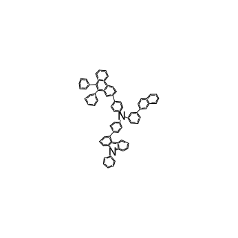 c1ccc(-c2c(-c3ccccc3)c3cc(-c4ccc(N(c5ccc(-c6cccc7c6c6ccccc6n7-c6ccccc6)cc5)c5cccc(-c6ccc7ccccc7c6)c5)cc4)ccc3c3ccccc23)cc1